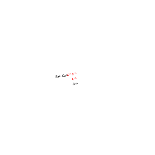 [Ba+2].[Ca+2].[O-2].[O-2].[O-2].[Sr+2]